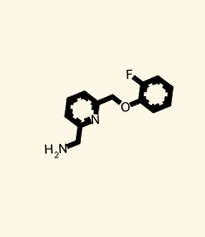 NCc1cccc(COc2ccccc2F)n1